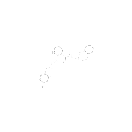 O=C(NCC1CCc2ccccc2C1)c1cccnc1SCCCc1ccc(F)cc1